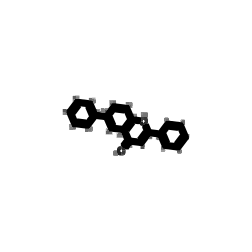 O=c1cc(-c2ccccc2)oc2ccc(-c3ccccc3)cc12